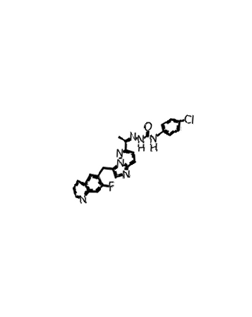 C/C(=N/NC(=O)Nc1ccc(Cl)cc1)c1ccc2ncc(Cc3cc4cccnc4cc3F)n2n1